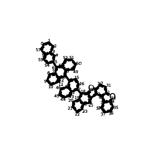 c1ccc2cc(-c3c4ccccc4c(-c4ccc(-c5c6ccccc6cc6c5oc5ccc7oc8ccccc8c7c56)c5ccccc45)c4ccccc34)ccc2c1